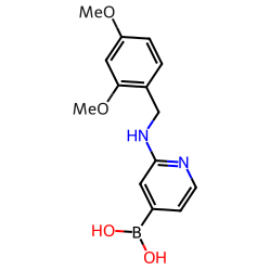 COc1ccc(CNc2cc(B(O)O)ccn2)c(OC)c1